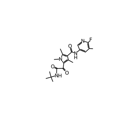 Cc1cc(NC(=O)c2c(C)c(C(=O)C(=O)NC(C)(C)C)n(C)c2C)cnc1F